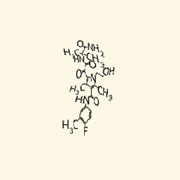 Cc1cc(NC(=O)c2c(C)c(C(=O)C(=O)NC(C)(C)C(N)=O)n(CCO)c2C)ccc1F